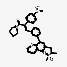 CC(Cc1cc(-c2cccc(/C=C(/C(=O)N3CCCC3)c3ccc([S+](C)[O-])cc3)c2)c2ncccc2c1)S(C)(=O)=O